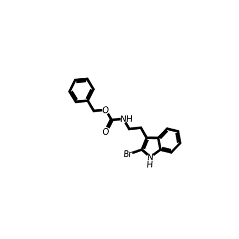 O=C(NCCc1c(Br)[nH]c2ccccc12)OCc1ccccc1